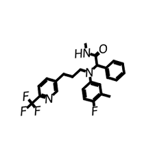 CNC(=O)C(c1ccccc1)N(CCCc1ccc(C(F)(F)F)nc1)c1ccc(F)c(C)c1